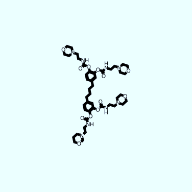 O=C(NCCN1CCOCC1)Oc1ccc(CCCCc2ccc(OC(=O)NCCN3CCCOC3)c(OC(=O)NCCN3CCOCC3)c2)cc1OC(=O)NCCN1CCOCC1